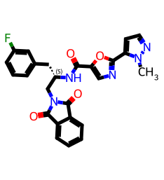 Cn1nccc1-c1ncc(C(=O)N[C@@H](Cc2cccc(F)c2)CN2C(=O)c3ccccc3C2=O)o1